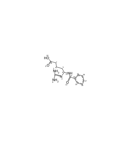 NC(N)=NC(CCCC(=O)O)NC(=O)c1ccccc1